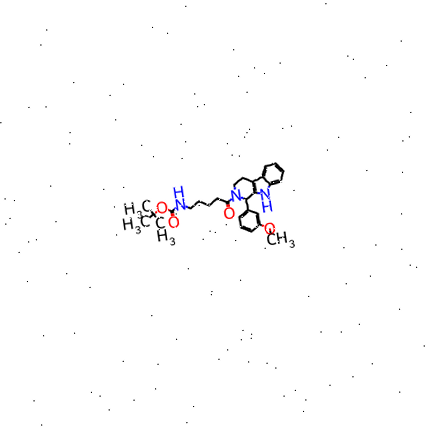 COc1cccc(C2c3[nH]c4ccccc4c3CCN2C(=O)CCCCNC(=O)OC(C)(C)C)c1